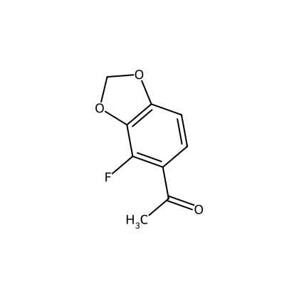 CC(=O)c1ccc2c(c1F)OCO2